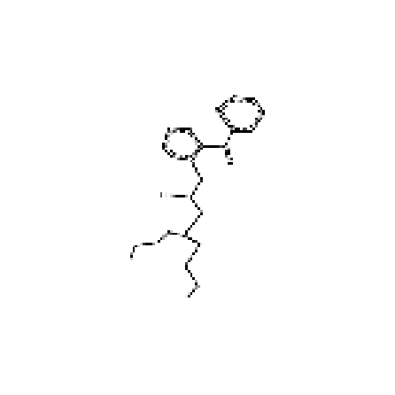 CCCCC(CCCC)CC(O)Cc1ccccc1C(=O)c1ccccc1